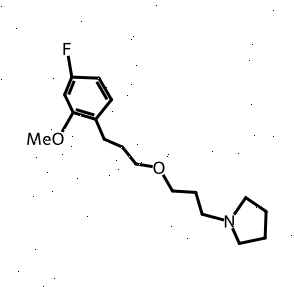 COc1cc(F)ccc1CCCOCCCN1CCCC1